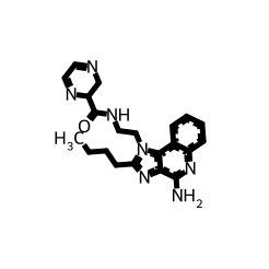 CCCCc1nc2c(N)nc3ccccc3c2n1CCNC(=O)C1CN=CC=N1